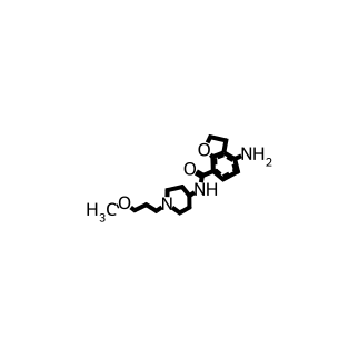 COCCCN1CCC(NC(=O)c2ccc(N)c3c2OCC3)CC1